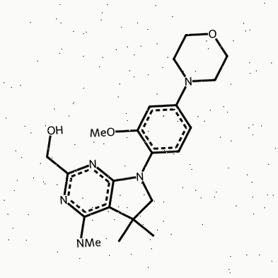 CNc1nc(CO)nc2c1C(C)(C)CN2c1ccc(N2CCOCC2)cc1OC